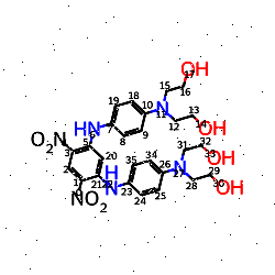 O=[N+]([O-])c1cc([N+](=O)[O-])c(Nc2ccc(N(CCO)CCO)cc2)cc1Nc1ccc(N(CCO)CCO)cc1